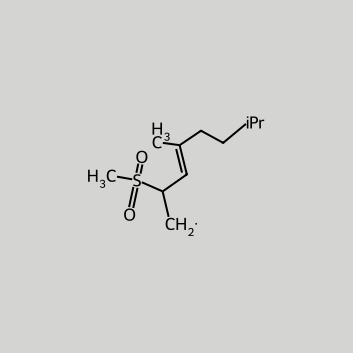 [CH2]C(C=C(C)CCC(C)C)S(C)(=O)=O